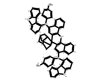 CC(C)(C)c1ccc(N(c2cc3c(c4ccccc24)Sc2c(cc(N(c4ccc(C(C)(C)C)cc4)c4cccc5oc6ccccc6c45)c4ccccc24)C32C3CC4CC(C3)CC2C4)c2cccc3oc4ccccc4c23)cc1